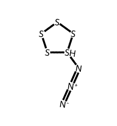 [N-]=[N+]=N[SH]1SSSS1